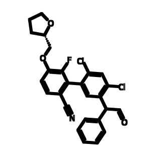 N#Cc1ccc(OC[C@@H]2CCCO2)c(F)c1-c1cc(C(C=O)c2ccccc2)c(Cl)cc1Cl